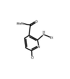 CCNc1nc(Cl)ccc1C(=O)NC